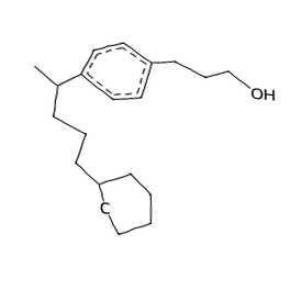 CC(CCCC1CCCCC1)c1ccc(CCCO)cc1